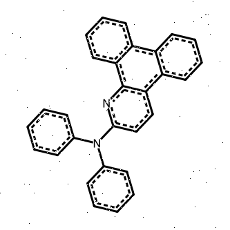 c1ccc(N(c2ccccc2)c2ccc3c4ccccc4c4ccccc4c3n2)cc1